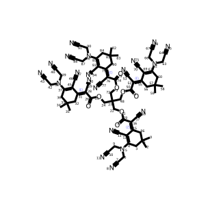 CC1(C)CC(N(CC#N)CC#N)=C(C#N)/C(=C(/C#N)C(=O)OCC(COC(=O)/C(C#N)=C2\CC(C)(C)CC(N(CC#N)CC#N)=C2C#N)(COC(=O)/C(C#N)=C2\CC(C)(C)CC(N(CC#N)CC#N)=C2C#N)COC(=O)/C(C#N)=C2\CC(C)(C)CC(N(CC#N)CC#N)=C2C#N)C1